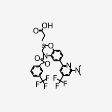 CN(C)c1cc(C(F)(F)F)cc(-c2ccc3c(c2)N(S(=O)(=O)c2cccc(C(F)(F)F)c2)C[C@H](CCC(=O)O)O3)n1